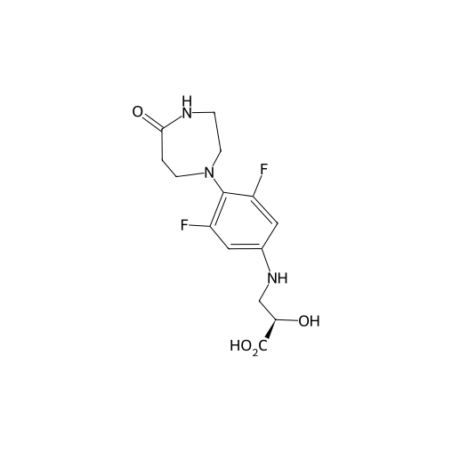 O=C1CCN(c2c(F)cc(NC[C@@H](O)C(=O)O)cc2F)CCN1